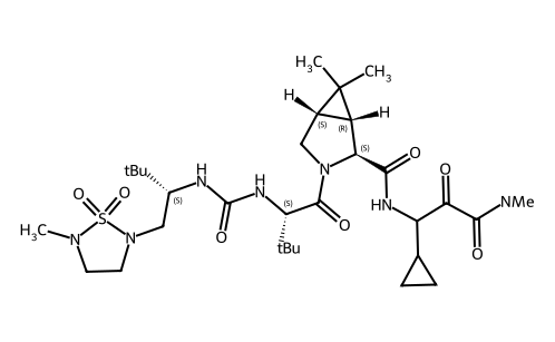 CNC(=O)C(=O)C(NC(=O)[C@@H]1[C@@H]2[C@H](CN1C(=O)[C@@H](NC(=O)N[C@H](CN1CCN(C)S1(=O)=O)C(C)(C)C)C(C)(C)C)C2(C)C)C1CC1